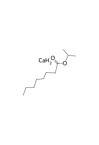 CCCCCCCC(=O)OC(C)C.[CaH2]